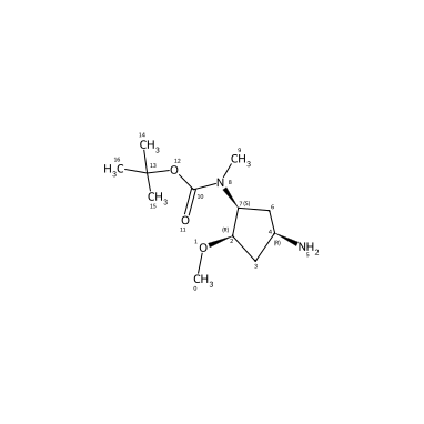 CO[C@@H]1C[C@H](N)C[C@@H]1N(C)C(=O)OC(C)(C)C